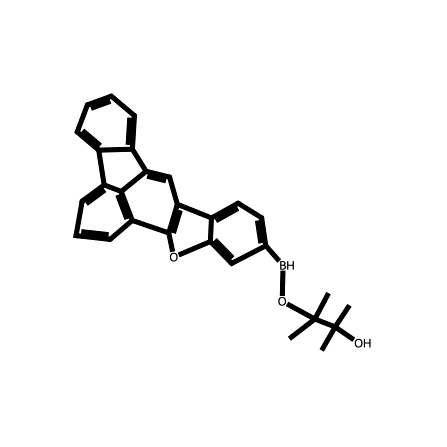 CC(C)(O)C(C)(C)OBc1ccc2c(c1)oc1c3cccc4c3c(cc21)-c1ccccc1-4